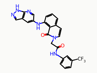 O=C(Cn1ccc2cccc(Nc3cnc4[nH]ncc4c3)c2c1=O)Nc1cccc(C(F)(F)F)c1